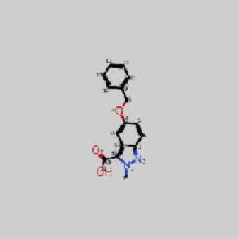 Cn1nc2ccc(OCc3ccccc3)cc2c1C(=O)O